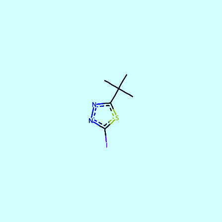 CC(C)(C)c1nnc(I)s1